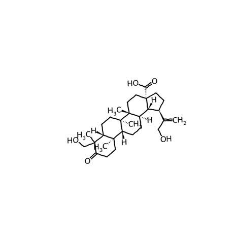 C=C(CO)[C@@H]1CC[C@]2(C(=O)O)CC[C@]3(C)[C@H](CC[C@@H]4[C@@]5(C)CCC(=O)C(C)(CO)[C@@H]5CC[C@]43C)[C@@H]12